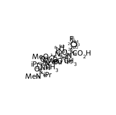 CC[C@H](C)[C@@H](C(CC(=O)N1C2C[C@H]2C[C@H]1C(OC)[C@@H](C)C(=O)N[C@@H](Cc1cccc(F)c1)C(=O)O)OC)N(C)C(=O)[C@@H](NC(=O)[C@@H](NC)C(C)C)C(C)C